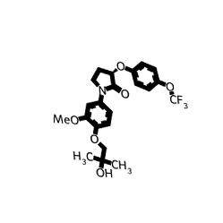 COc1cc(N2CC[C@@H](Oc3ccc(OC(F)(F)F)cc3)C2=O)ccc1OCC(C)(C)O